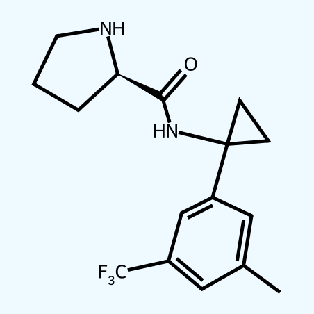 Cc1cc(C(F)(F)F)cc(C2(NC(=O)[C@H]3CCCN3)CC2)c1